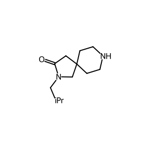 CC(C)CN1CC2(CCNCC2)CC1=O